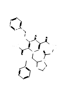 COC(=O)c1cn([C@@H](Cc2ccccc2)C2OCCN2C(=O)OC(C)(C)C)c(C(=O)OC)c(OCc2ccccc2)c1=O